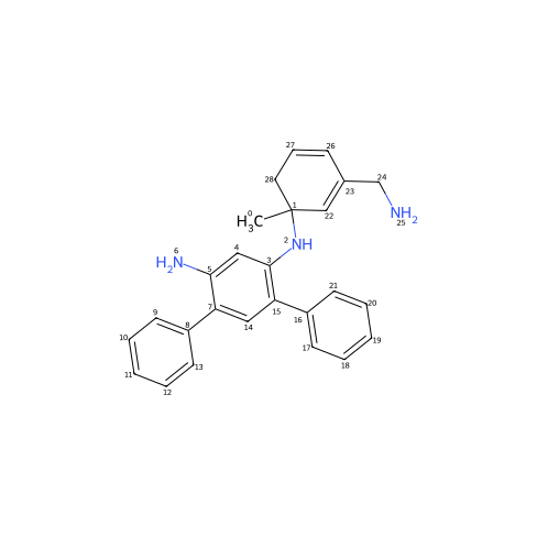 CC1(Nc2cc(N)c(-c3ccccc3)cc2-c2ccccc2)C=C(CN)C=CC1